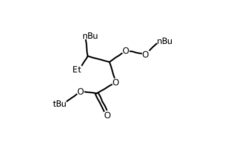 CCCCOOC(OC(=O)OC(C)(C)C)C(CC)CCCC